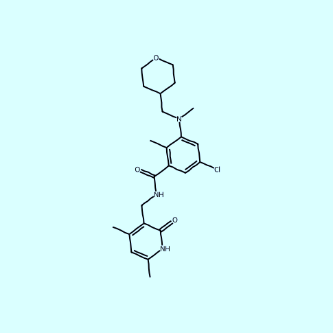 Cc1cc(C)c(CNC(=O)c2cc(Cl)cc(N(C)CC3CCOCC3)c2C)c(=O)[nH]1